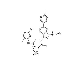 Cc1ncc(-c2ccc3c(c2)c(C(C)(C)C#N)nn3CC(=O)N2C3C[C@]3(C)C[C@H]2C(=O)Nc2nc(Br)ccc2C)cn1